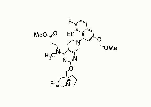 CCc1c(F)ccc2cc(OCOC)cc(N3CCc4c(nc(OC[C@@]56CCCN5C[C@H](F)C6)nc4N(C)CCC(=O)OC)C3)c12